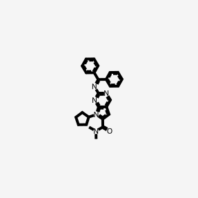 CN(C)C(=O)c1cc2cnc(N=C(c3ccccc3)c3ccccc3)nc2n1C1CCCC1